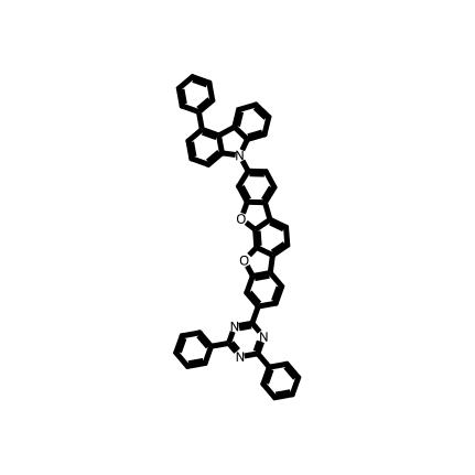 c1ccc(-c2nc(-c3ccccc3)nc(-c3ccc4c(c3)oc3c4ccc4c5ccc(-n6c7ccccc7c7c(-c8ccccc8)cccc76)cc5oc43)n2)cc1